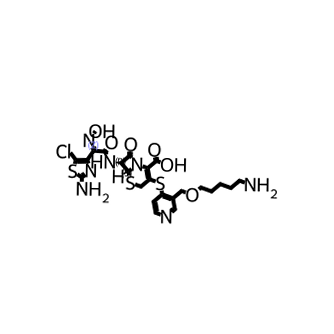 NCCCCCOCc1cnccc1SC1=C(C(=O)O)N2C(=O)[C@@H](NC(=O)/C(=N\O)c3nc(N)sc3Cl)[C@@H]2SC1